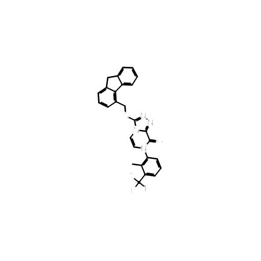 Cc1c(-n2ccn3c(SCc4cccc5c4-c4ccccc4C5)nnc3c2=O)cccc1C(F)(F)F